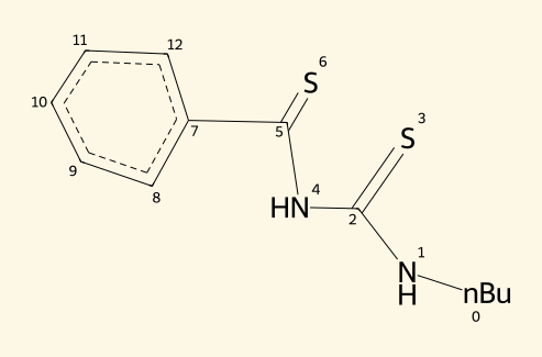 CCCCNC(=S)NC(=S)c1ccccc1